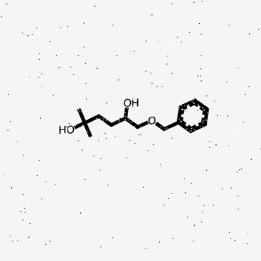 CC(C)(O)CCC(O)COCc1ccccc1